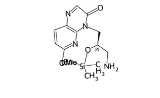 COc1ccc2ncc(=O)n(C[C@@H](CN)O[Si](C)(C)C(C)(C)C)c2n1